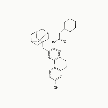 O=C(CC1CCCCC1)Nc1nc2c(nc1CC13CC4CC(CC(C4)C1)C3)-c1ccc(O)cc1CC2